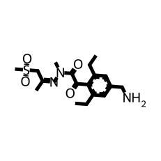 CCc1cc(CN)cc(CC)c1C(=O)C(=O)N(C)N=C(C)CS(C)(=O)=O